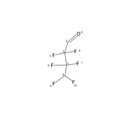 O=[C]C(F)(F)C(F)(F)C(F)F